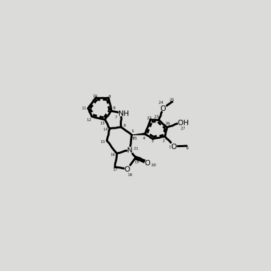 COc1cc([C@@H]2C3Nc4ccccc4C3CC3COC(=O)N32)cc(OC)c1O